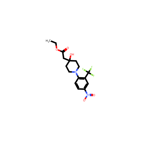 CCOC(=O)CC1(O)CCN(c2ccc([N+](=O)[O-])cc2C(F)(F)F)CC1